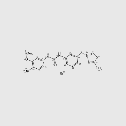 CCCCCCCCCCOc1cc(NC(=O)Nc2cccc(C[n+]3csc(C)c3)c2)ccc1C(C)(C)C.[Br-]